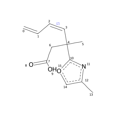 C=C/C=C\C(C)(CC(=O)O)c1nc(C)co1